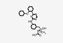 C[SH](O)(Cc1cccc(Nc2ncnc(-c3ccccc3Oc3ccccc3)n2)c1)=NC(=O)O